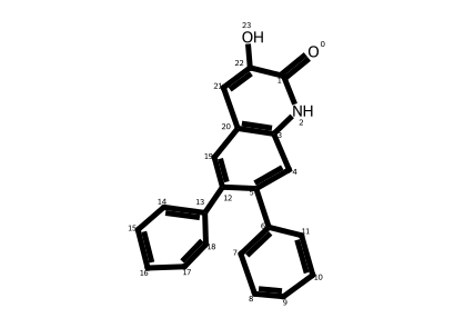 O=c1[nH]c2cc(-c3ccccc3)c(-c3ccccc3)cc2cc1O